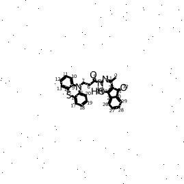 CC(=NNC(=O)CCN1c2ccccc2Sc2ccccc21)C1=C(O)c2ccccc2C1=O